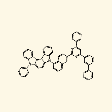 c1ccc(-c2cccc(-c3cc(-c4ccccc4)nc(-c4ccc5c(-n6c7ccccc7c7c8c9ccccc9n(-c9ccccc9)c8ccc76)cccc5c4)n3)c2)cc1